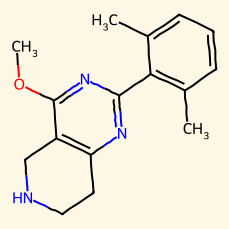 COc1nc(-c2c(C)cccc2C)nc2c1CNCC2